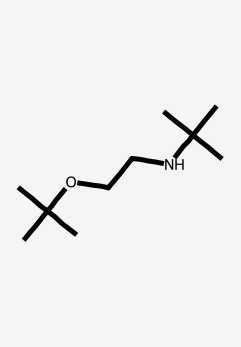 CC(C)(C)NCCOC(C)(C)C